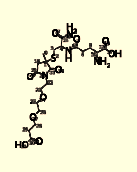 CC1(SCC(NC(=O)CCC(N)C(=O)O)C(N)=O)CC(=O)N(CCOCCOCCC(=O)O)C1=O